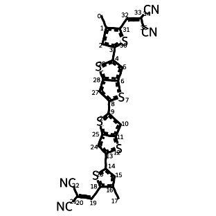 Cc1cc(-c2cc3sc(-c4cc5sc(-c6cc(C)c(C=C(C#N)C#N)s6)cc5s4)cc3s2)sc1C=C(C#N)C#N